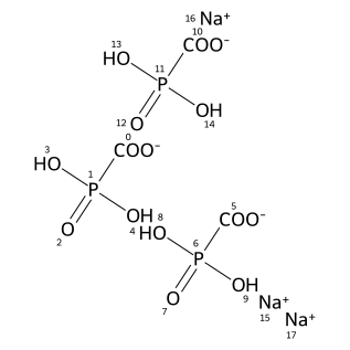 O=C([O-])P(=O)(O)O.O=C([O-])P(=O)(O)O.O=C([O-])P(=O)(O)O.[Na+].[Na+].[Na+]